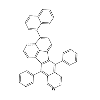 c1ccc(-c2c3c(c(-c4ccccc4)c4cnccc24)-c2cccc4c(-c5cccc6ccccc56)ccc-3c24)cc1